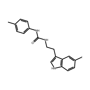 Cc1ccc(NC(=O)NCCc2c[nH]c3ccc(I)cc23)cc1